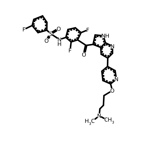 CN(C)CCCOc1ccc(-c2cnc3[nH]cc(C(=O)c4c(F)ccc(NS(=O)(=O)c5cccc(F)c5)c4F)c3c2)cn1